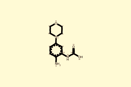 Nc1ccc(N2CCOCC2)cc1NC(=O)O